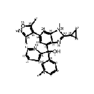 Cc1cccc(C(O)(c2ccccn2)c2cc(-c3c(C)noc3C)cc3[nH]c(C4CC4)nc23)c1